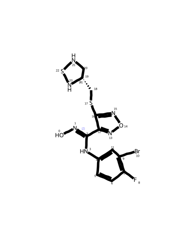 O/N=C(\Nc1ccc(F)c(Br)c1)c1nonc1SC[C@H]1CNSN1